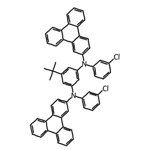 CC(C)(C)c1cc(N(c2cccc(Cl)c2)c2ccc3c4ccccc4c4ccccc4c3c2)cc(N(c2cccc(Cl)c2)c2ccc3c4ccccc4c4ccccc4c3c2)c1